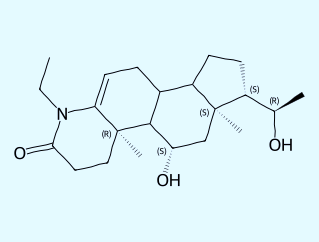 CCN1C(=O)CC[C@@]2(C)C1=CCC1C2[C@@H](O)C[C@@]2(C)C1CC[C@@H]2[C@@H](C)O